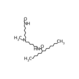 CCCCCCCCC(CCCCCC)C(=O)NCCCCCCN(CC)CCCCCCNC=O